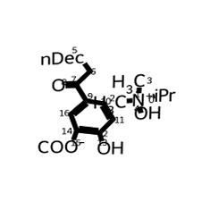 CC(C)[N+](C)(C)O.CCCCCCCCCCCC(=O)c1ccc(O)c(C(=O)[O-])c1